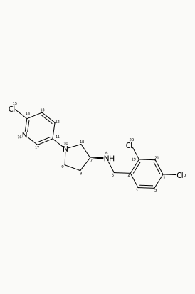 Clc1ccc(CN[C@H]2CCN(c3ccc(Cl)nc3)C2)c(Cl)c1